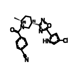 C[C@@H]1CC[C@H](c2noc(-c3cc(Cl)c[nH]3)n2)CN1C(=O)c1ccc(C#N)cc1